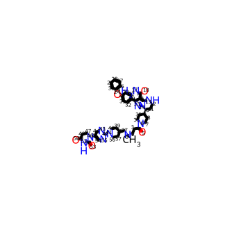 CN(CCC(=O)N1CCC([C@@H]2CCNc3c(C(N)=O)c(-c4ccc(Oc5ccccc5)cc4)nn32)CC1)CC1CCN(c2ncc(N3CCC(=O)NC3=O)cn2)CC1